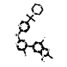 Cc1nc2c(F)cc(-c3nc(Nc4ccc(C(C)(C)N5CCNCC5)cn4)ncc3F)cc2n1C(C)C